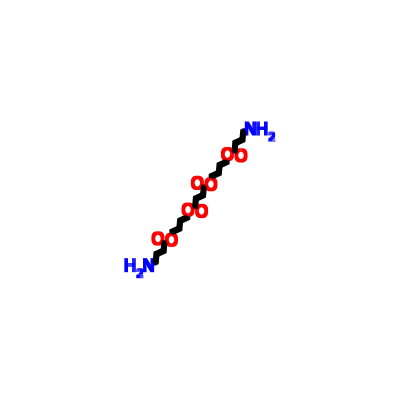 NCCCC(=O)OCCCCOC(=O)CCC(=O)OCCCCOC(=O)CCCN